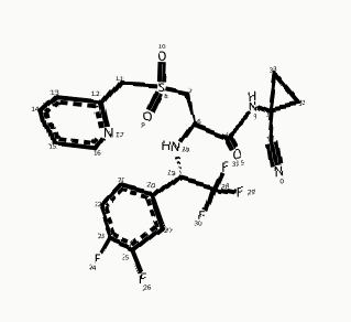 N#CC1(NC(=O)[C@H](CS(=O)(=O)Cc2ccccn2)N[C@@H](c2ccc(F)c(F)c2)C(F)(F)F)CC1